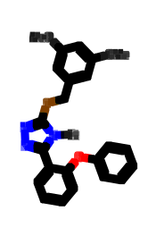 CCn1c(SCc2cc(OC)cc(OC)c2)nnc1-c1ccccc1Oc1ccccc1